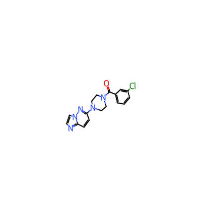 O=C(c1cccc(Cl)c1)N1CCN(c2ccc3nccn3n2)CC1